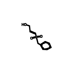 O=S(=O)(/C=C/CO)Cc1ccccc1